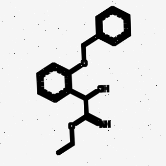 CCOC(=N)C(O)c1ccccc1OCc1ccccc1